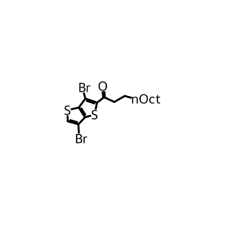 CCCCCCCCCCC(=O)c1sc2c(Br)csc2c1Br